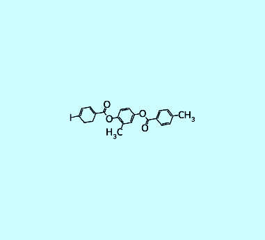 Cc1ccc(C(=O)Oc2ccc(OC(=O)C3=CC=C(I)CC3)c(C)c2)cc1